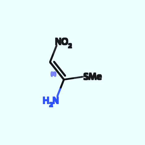 CS/C(N)=C\[N+](=O)[O-]